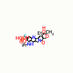 C=C1OCc2c(cc3n(c2=O)Cc2cc4c(NC(C)C)c(OP(=O)(O)O)c(F)cc4nc2-3)[C@@]1(O)CC